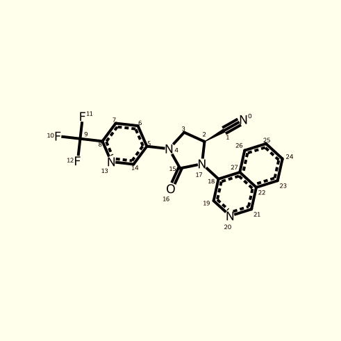 N#C[C@@H]1CN(c2ccc(C(F)(F)F)nc2)C(=O)N1c1cncc2ccccc12